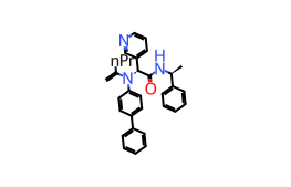 C=C(CCC)N(c1ccc(-c2ccccc2)cc1)[C@@H](C(=O)N[C@@H](C)c1ccccc1)c1cccnc1